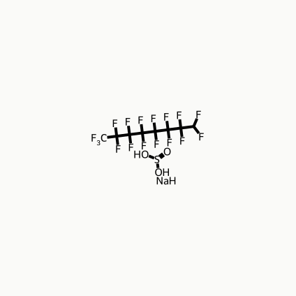 FC(F)C(F)(F)C(F)(F)C(F)(F)C(F)(F)C(F)(F)C(F)(F)C(F)(F)F.O=S(O)O.[NaH]